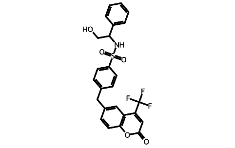 O=c1cc(C(F)(F)F)c2cc(Cc3ccc(S(=O)(=O)NC(CO)c4ccccc4)cc3)ccc2o1